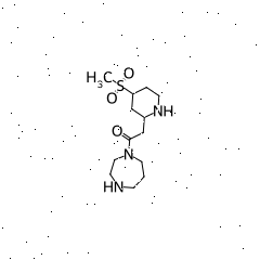 CS(=O)(=O)C1CCNC(CC(=O)N2CCCNCC2)C1